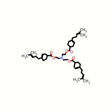 CC(C)=CCCC1=CCC(C(=O)OCCN(CCOC(=O)C2CC=C(CCC=C(C)C)CC2)CCOC(=O)C2CC=C(CCC=C(C)C)CC2)CC1